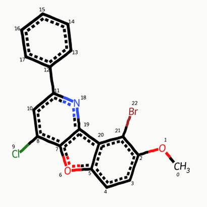 COc1ccc2oc3c(Cl)cc(-c4ccccc4)nc3c2c1Br